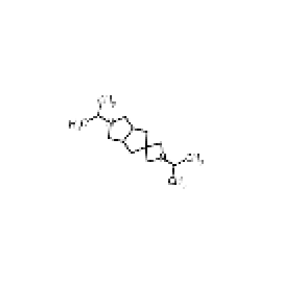 CC(C)N1CC2CC3(CC2C1)CN(C(C)C)C3